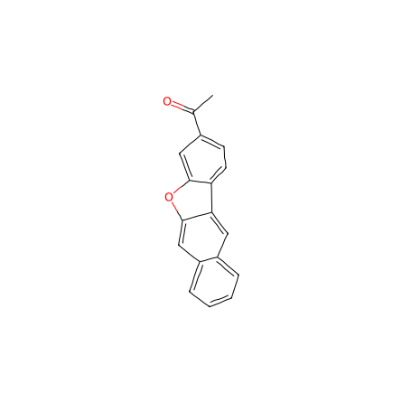 CC(=O)c1ccc2c(c1)oc1cc3ccccc3cc12